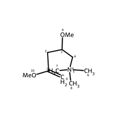 C=C(CC(C[N+](C)(C)C)OC)OC